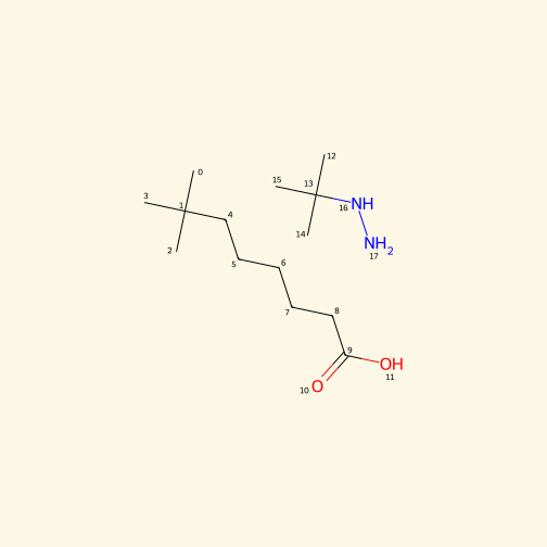 CC(C)(C)CCCCCC(=O)O.CC(C)(C)NN